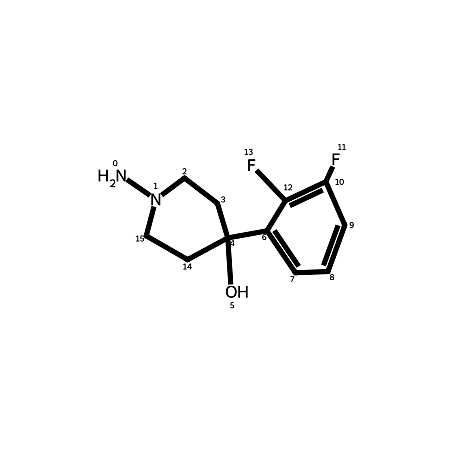 NN1CCC(O)(c2cccc(F)c2F)CC1